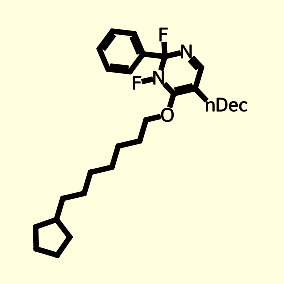 CCCCCCCCCCC1=C(OCCCCCCCC2CCCC2)N(F)C(F)(c2ccccc2)N=C1